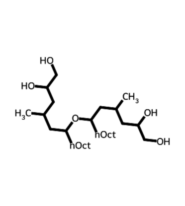 CCCCCCCCC(CC(C)CC(O)CO)OC(CCCCCCCC)CC(C)CC(O)CO